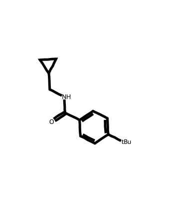 CC(C)(C)c1ccc(C(=O)NCC2CC2)cc1